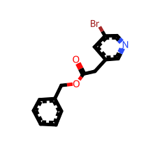 O=C(Cc1cncc(Br)c1)OCc1ccccc1